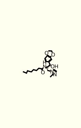 CCCCCCCC(=O)N[C@H](Cn1ccnc1C)[C@H](O)c1ccc2c(c1)OCCO2